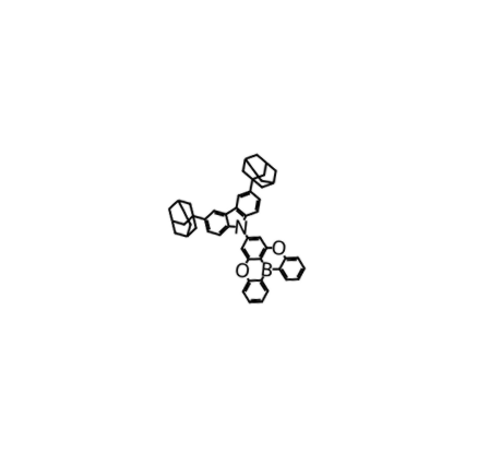 c1ccc2c(c1)Oc1cc(-n3c4ccc(C56CC7CC(CC(C7)C5)C6)cc4c4cc(C56CC7CC(CC(C7)C5)C6)ccc43)cc3c1B2c1ccccc1O3